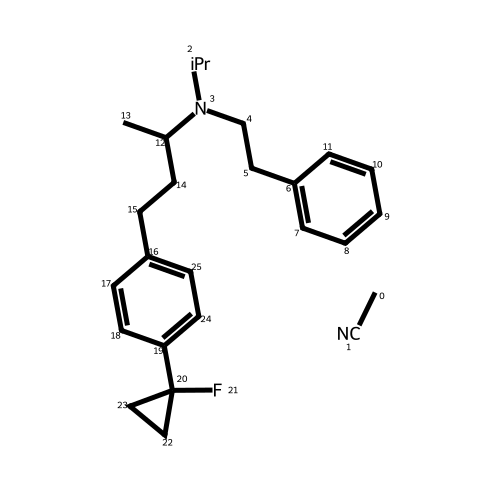 CC#N.CC(C)N(CCc1ccccc1)C(C)CCc1ccc(C2(F)CC2)cc1